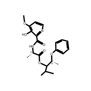 COc1ccnc(C(=O)N[C@@H](C)C(=O)OC(C(C)C)[C@@H](C)Oc2ccccc2)c1O